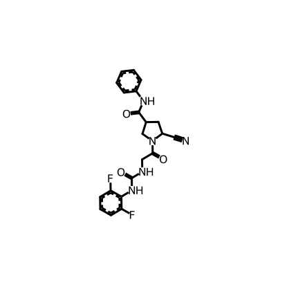 N#CC1CC(C(=O)Nc2ccccc2)CN1C(=O)CNC(=O)Nc1c(F)cccc1F